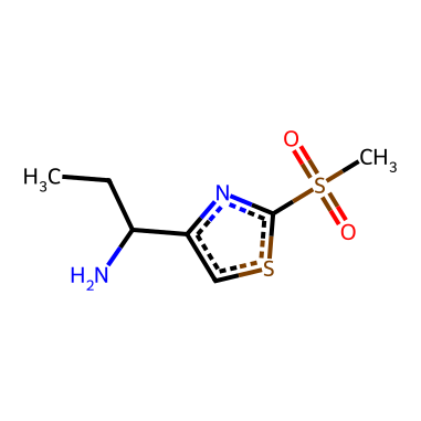 CCC(N)c1csc(S(C)(=O)=O)n1